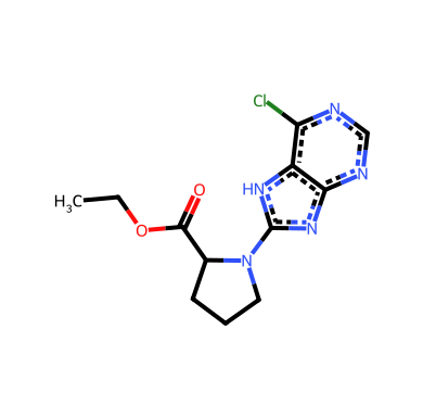 CCOC(=O)C1CCCN1c1nc2ncnc(Cl)c2[nH]1